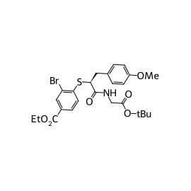 CCOC(=O)c1ccc(S[C@@H](Cc2ccc(OC)cc2)C(=O)NCC(=O)OC(C)(C)C)c(Br)c1